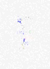 COc1cc(-c2ccc(CN[C@H]3C[C@@H](O)[C@@H](N(C)c4ncnc5sc(CC(F)(F)F)cc45)C3)cc2)nnc1N(C)C.Cl